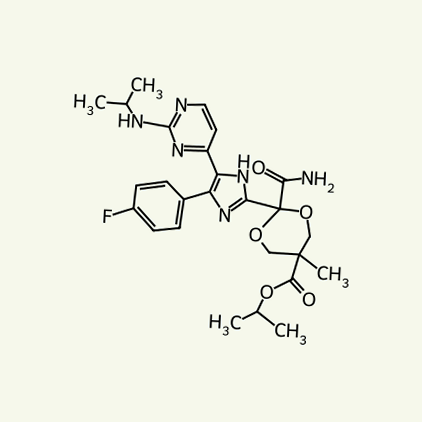 CC(C)Nc1nccc(-c2[nH]c(C3(C(N)=O)OCC(C)(C(=O)OC(C)C)CO3)nc2-c2ccc(F)cc2)n1